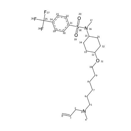 C=CCN(C)CCCCCCOC1CCC(N(C)S(=O)(=O)c2ccc(C(F)(F)F)cc2)CC1